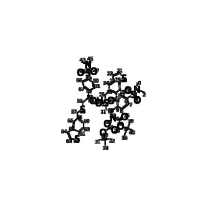 CN(C)S(=O)(=O)c1ccc([C@@H](CS(=O)(=O)Cc2ccc3sccc3c2)N(OC(=O)OC(C)(C)C)C(=O)OC(C)(C)C)cc1.CN(C)S(=O)(=O)c1ccc([C@H](O)CSCc2ccc3sccc3c2)cc1